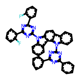 Fc1ccccc1-c1nc(-c2ccccc2F)nc(-n2c3ccccc3c3c2ccc2c4ccccc4n(-c4nc(-c5ccccc5)nc(-c5ccccc5)n4)c23)n1